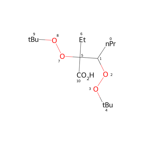 CCCC(OOC(C)(C)C)C(CC)(OOC(C)(C)C)C(=O)O